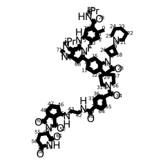 Cc1cc(F)c(Nc2nc(-c3ccc4c(c3)N([C@H]3C[C@@H](N5CCCCC5)C3)C(=O)C43CCN(C(=O)c4ccc(C(=O)NCCNc5cccc6c5C(=O)N(C5CCC(=O)NC5=O)C6=O)cc4)CC3)cc3ncn(C(C)C)c23)cc1C(=O)NC(C)C